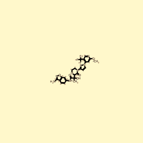 COc1cc(-n2ccc(N3CCOC(C(C)(O)C(=O)Nc4ccc5c(N)noc5c4)C3=O)n2)c(C(F)(F)F)cn1